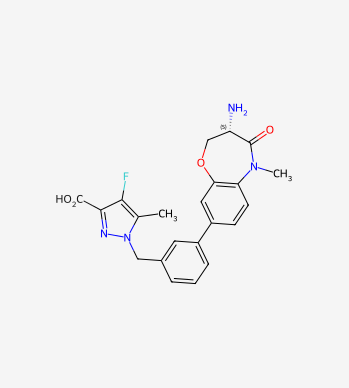 Cc1c(F)c(C(=O)O)nn1Cc1cccc(-c2ccc3c(c2)OC[C@H](N)C(=O)N3C)c1